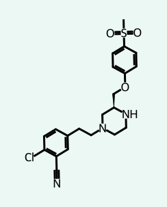 CS(=O)(=O)c1ccc(OC[C@@H]2CN(CCc3ccc(Cl)c(C#N)c3)CCN2)cc1